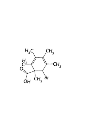 CC1=C(C)C(Br)C(C)(C(=O)O)C(C)=C1C